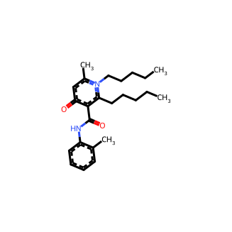 CCCCCc1c(C(=O)Nc2ccccc2C)c(=O)cc(C)n1CCCCC